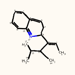 C/C=C(/C1CC=c2ccccc2=N1)C(C)C(C)C